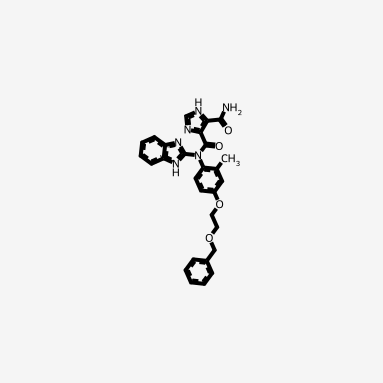 Cc1cc(OCCOCc2ccccc2)ccc1N(C(=O)c1nc[nH]c1C(N)=O)c1nc2ccccc2[nH]1